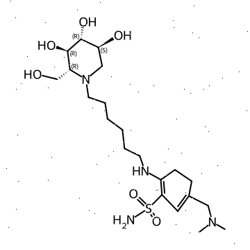 CN(C)CC1=CC(S(N)(=O)=O)=C(NCCCCCCN2C[C@H](O)[C@@H](O)[C@H](O)[C@H]2CO)CC1